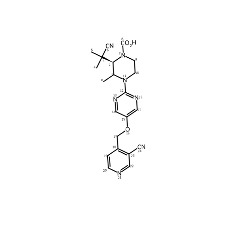 CC1[C@@H](C(C)(C)C#N)N(C(=O)O)CCN1c1ncc(OCc2ccncc2C#N)cn1